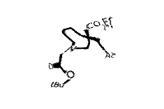 CCOC(=O)C1(CC(C)=O)CCN(C(=O)OC(C)(C)C)C1